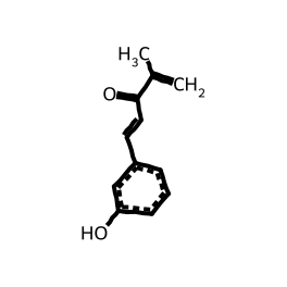 C=C(C)C(=O)C=Cc1cccc(O)c1